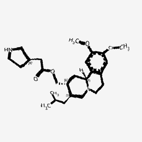 COc1cc2c(cc1OC)[C@H]1C[C@@H](COC(=O)C[C@H]3CCNC3)[C@H](CC(C)C)CN1CC2